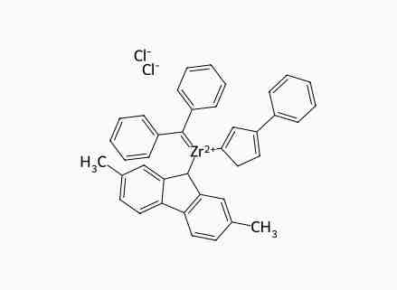 Cc1ccc2c(c1)[CH]([Zr+2]([C]1=CC(c3ccccc3)=CC1)=[C](c1ccccc1)c1ccccc1)c1cc(C)ccc1-2.[Cl-].[Cl-]